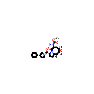 CC(C)(C)OC(=O)N[C@H]1C[C@@H]2O[C@@H]2C[C@H]2CC[C@@H](C(=O)N3CC[C@H](c4ccccc4)C3)N2C1=O